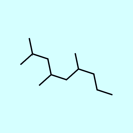 CCCC(C)CC(C)C[C](C)C